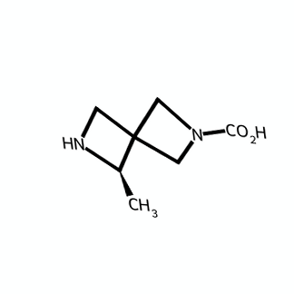 C[C@H]1NCC12CN(C(=O)O)C2